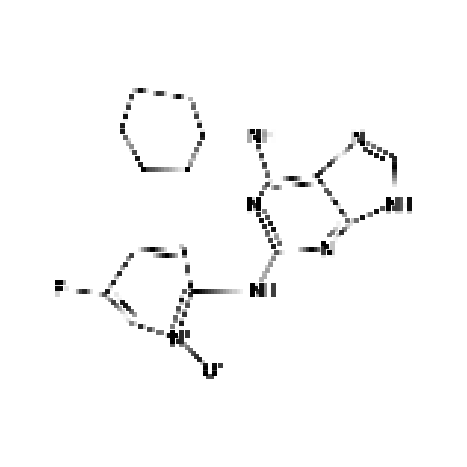 [O-][n+]1cc(F)ccc1Nc1nc(NC2CCCCC2)c2nc[nH]c2n1